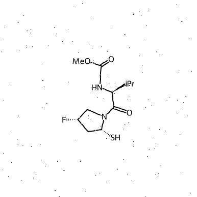 COC(=O)N[C@H](C(=O)N1C[C@@H](F)C[C@H]1S)C(C)C